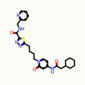 O=C(CC1CCCCC1)Nc1ccn(CCCCc2nnc(C(=O)NCc3ccccn3)s2)c(=O)c1